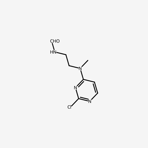 CN(CCNC=O)c1ccnc(Cl)n1